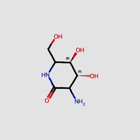 NC1C(=O)NC(CO)[C@@H](O)[C@@H]1O